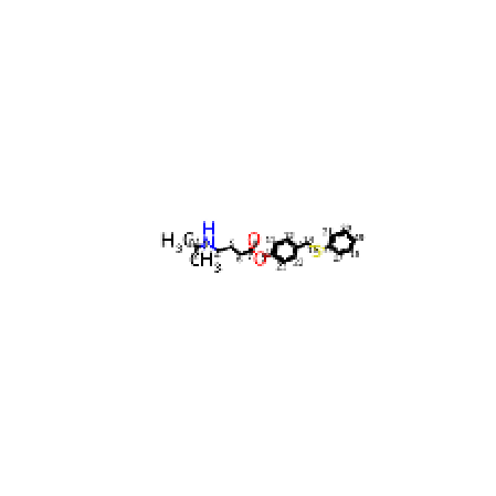 CC(C)NCCCC(=O)Oc1ccc(CSc2ccccc2)cc1